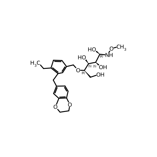 CCc1ccc(CO[C@H](CO)[C@@H](O)[C@H](O)[C@@H](O)NOC)cc1Cc1ccc2c(c1)OCCO2